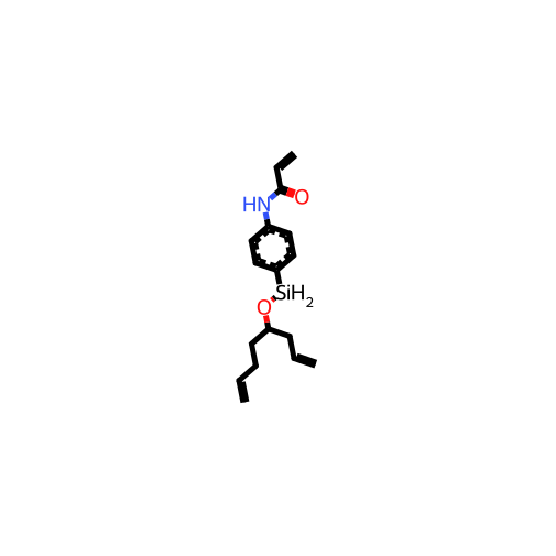 C=CCCC(CC=C)O[SiH2]c1ccc(NC(=O)C=C)cc1